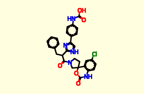 O=C(O)Nc1ccc(-c2c[nH]c(C(Cc3ccccc3)C(=O)N3CCC4(C3)OC(=O)Nc3ccc(Cl)cc34)n2)cc1